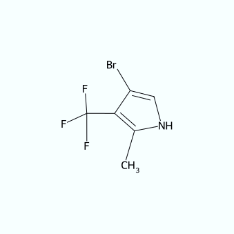 Cc1[nH]cc(Br)c1C(F)(F)F